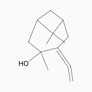 C=C=C1CC2CC(CC1(C)O)C2(C)C